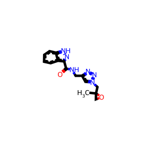 CC1(Cn2cc(CNC(=O)c3n[nH]c4ccccc34)nn2)CO1